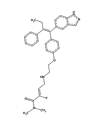 CC/C(=C(/c1ccc(OCCNC/C=C(\F)C(=O)N(C)C)cc1)c1ccc2[nH]ncc2c1)c1ccccc1